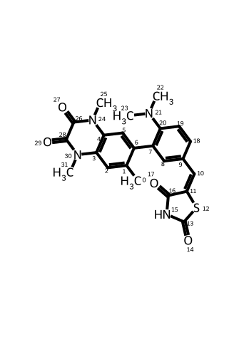 Cc1cc2c(cc1-c1cc(C=C3SC(=O)NC3=O)ccc1N(C)C)n(C)c(=O)c(=O)n2C